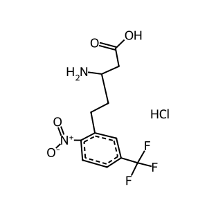 Cl.NC(CCc1cc(C(F)(F)F)ccc1[N+](=O)[O-])CC(=O)O